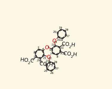 O=C(O)c1ccc(Oc2ccc(C(=O)O)c(C(=O)O)c2Oc2ccccc2)c(Oc2ccccc2)c1C(=O)O